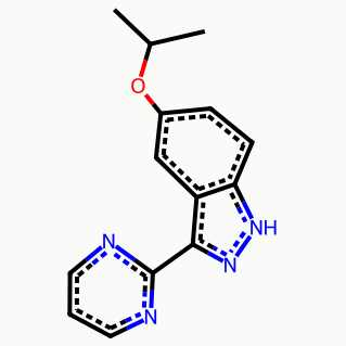 CC(C)Oc1ccc2[nH]nc(-c3ncccn3)c2c1